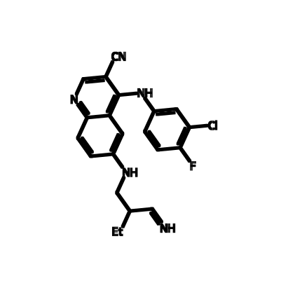 CCC(C=N)CNc1ccc2ncc(C#N)c(Nc3ccc(F)c(Cl)c3)c2c1